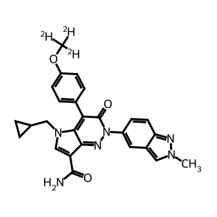 [2H]C([2H])([2H])Oc1ccc(-c2c(=O)n(-c3ccc4nn(C)cc4c3)nc3c(C(N)=O)cn(CC4CC4)c23)cc1